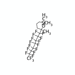 CC1(C(F)(F)C(F)(F)C(F)(F)C(F)(F)C(F)(F)C(F)(F)C(F)(F)C(F)(F)F)CCC[Si](C)(C)O1